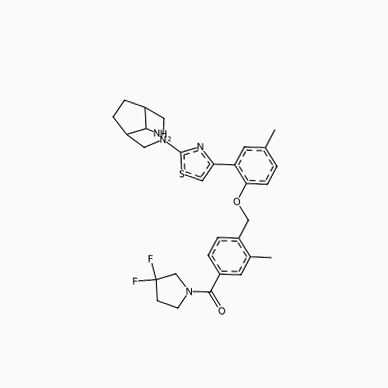 Cc1ccc(OCc2ccc(C(=O)N3CCC(F)(F)C3)cc2C)c(-c2csc(N3CC4CCC(C3)C4N)n2)c1